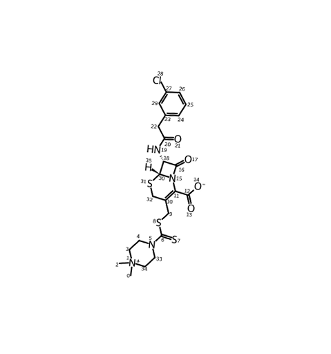 C[N+]1(C)CCN(C(=S)SCC2=C(C(=O)[O-])N3C(=O)[C@@H](NC(=O)Cc4cccc(Cl)c4)[C@H]3SC2)CC1